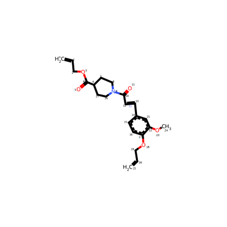 C=CCOC(=O)C1CCN(C(=O)/C=C/c2ccc(OCC=C)c(OC)c2)CC1